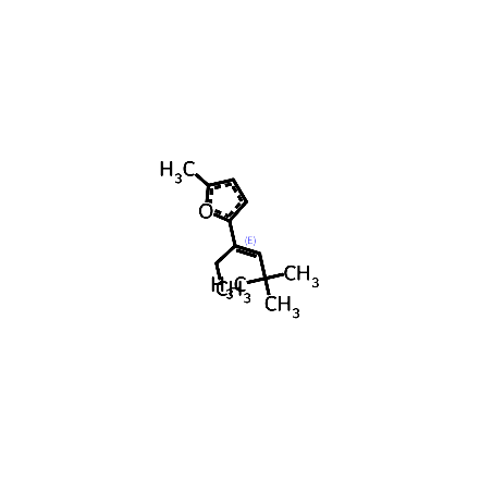 CC/C(=C\C(C)(C)C)c1ccc(C)o1